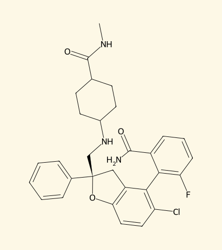 CNC(=O)C1CCC(NC[C@@]2(c3ccccc3)Cc3c(ccc(Cl)c3-c3c(F)cccc3C(N)=O)O2)CC1